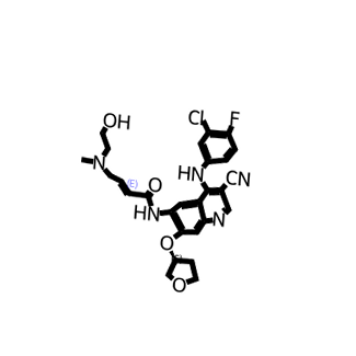 CN(C/C=C/C(=O)Nc1cc2c(Nc3ccc(F)c(Cl)c3)c(C#N)cnc2cc1O[C@H]1CCOC1)CCO